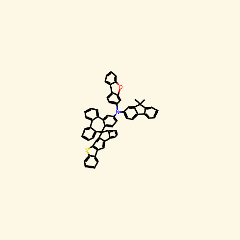 CC1(C)c2ccccc2-c2ccc(N(c3ccc4c(c3)-c3ccccc3-c3ccccc3C43c4ccccc4-c4cc5c(cc43)sc3ccccc35)c3ccc4c(c3)oc3ccccc34)cc21